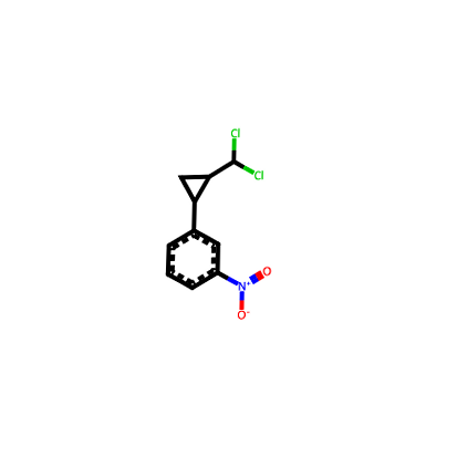 O=[N+]([O-])c1cccc(C2CC2C(Cl)Cl)c1